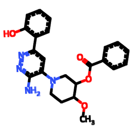 COC1CCN(c2cc(-c3ccccc3O)nnc2N)CC1OC(=O)c1ccccc1